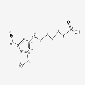 O=C(O)CCCCCNc1cc(CO)cc(CBr)c1